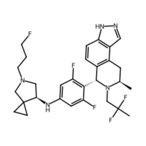 C[C@@H]1Cc2c(ccc3[nH]ncc23)[C@@H](c2c(F)cc(N[C@@H]3CN(CCCF)CC34CC4)cc2F)N1CC(C)(F)F